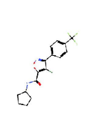 O=C(NC1CCCC1)c1onc(-c2ccc(C(F)(F)F)cc2)c1Cl